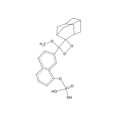 COC1(c2ccc3cccc(OP(=O)(O)O)c3c2)OOC12C1CC3CC(C1)CC2C3